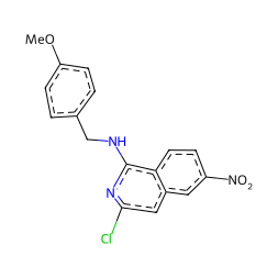 COc1ccc(CNc2nc(Cl)cc3cc([N+](=O)[O-])ccc23)cc1